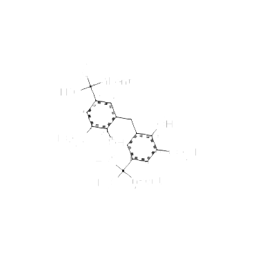 CCCCCC(C)(C)c1cc(Cc2cc(C(C)(C)CCCCC)cc(C(=O)O)c2O)c(O)c(C(=O)O)c1